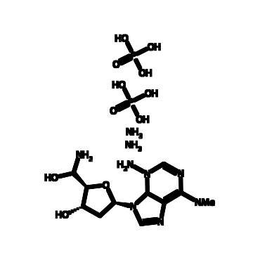 CNC1=C2N=CN([C@H]3C[C@H](O)[C@@H](C(N)O)O3)C2N(N)C=N1.N.N.O=P(O)(O)O.O=P(O)(O)O